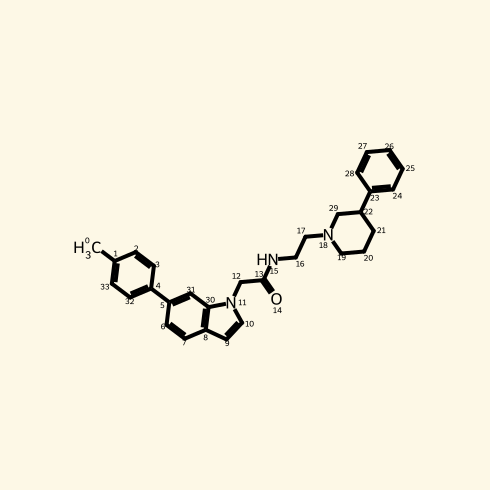 Cc1ccc(-c2ccc3ccn(CC(=O)NCCN4CCCC(c5ccccc5)C4)c3c2)cc1